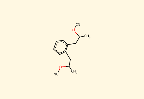 CC(Cc1ccccc1CC(C)OC#N)OC#N